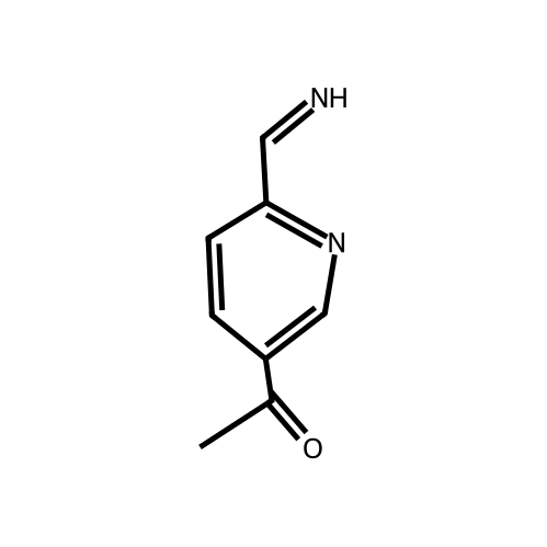 CC(=O)c1ccc(C=N)nc1